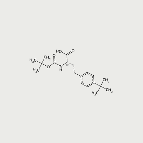 CC(C)(C)OC(=O)N[C@@H](CCc1ccc(C(C)(C)C)cc1)C(=O)O